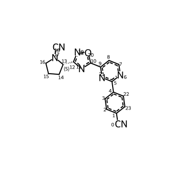 N#Cc1ccc(-c2nccc(-c3nc([C@@H]4CCCN4C#N)no3)n2)cc1